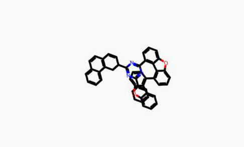 C1=CCCC(c2nc(-c3cccc4oc5cccc(-c6cccc7oc8ccccc8c67)c5c34)nc(C3C=Cc4ccc5ccccc5c4C3)n2)=C1